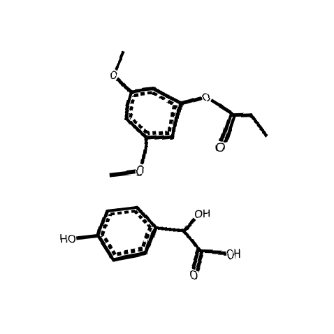 CCC(=O)Oc1cc(OC)cc(OC)c1.O=C(O)C(O)c1ccc(O)cc1